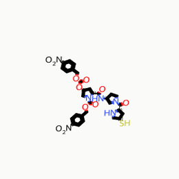 O=C(OCc1ccc([N+](=O)[O-])cc1)O[C@@H]1C[C@@H](C(=O)N[C@H]2CCN(C(=O)[C@@H]3C[C@H](S)CN3)C2)N(C(=O)OCc2ccc([N+](=O)[O-])cc2)C1